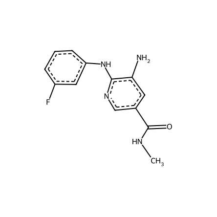 CNC(=O)c1cnc(Nc2cccc(F)c2)c(N)c1